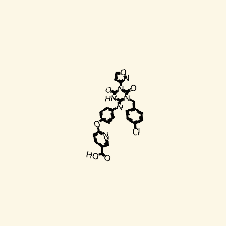 O=C(O)c1ccc(Oc2ccc(/N=c3\[nH]c(=O)n(-c4ccon4)c(=O)n3Cc3ccc(Cl)cc3)cc2)nc1